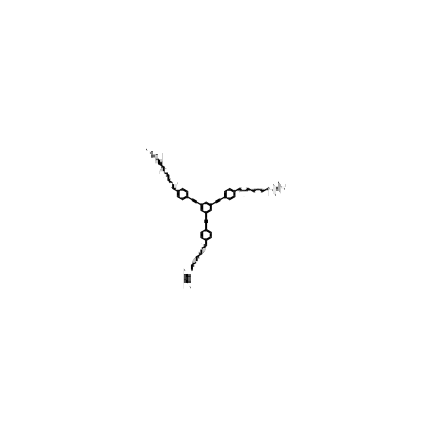 [N-]=[N+]=NCCOCCOCc1ccc(C#Cc2cc(C#Cc3ccc(COCCOCCN=[N+]=[N-])cc3)cc(C#Cc3ccc(COCCOCCN=[N+]=[N-])cc3)c2)cc1